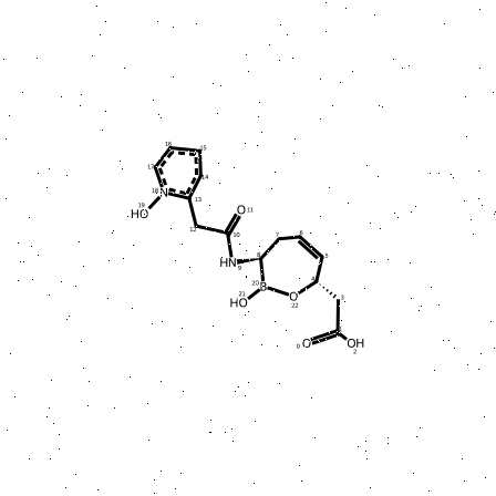 O=C(O)C[C@H]1C=CC[C@H](NC(=O)Cc2cccc[n+]2O)B(O)O1